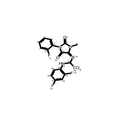 CN1C(=O)N(c2ccccc2F)C(=O)C1=NC(Nc1ccc(F)cc1F)C(Cl)(Cl)Cl